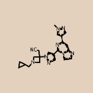 Cn1cc(-c2cc3nccn3c(-c3cnn(C4(CC#N)CN(CC5CC5)C4)c3)n2)cn1